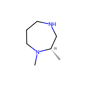 C[C@H]1CNCCCN1C